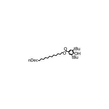 CCCCCCCCCCCCCCCCCCCCCCOC(=O)c1cc(C(C)(C)C)c(O)c(C(C)(C)C)c1